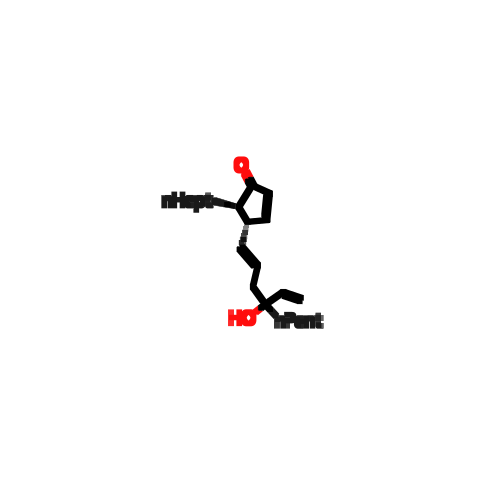 C=CC(O)(CC=C[C@H]1C=CC(=O)[C@@H]1CCCCCCC)CCCCC